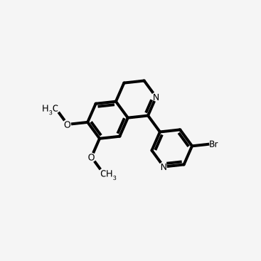 COc1cc2c(cc1OC)C(c1cncc(Br)c1)=NCC2